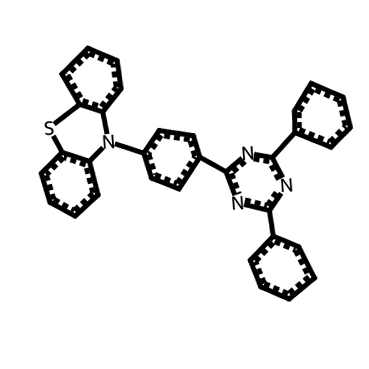 c1ccc(-c2nc(-c3ccccc3)nc(-c3ccc(N4c5ccccc5Sc5ccccc54)cc3)n2)cc1